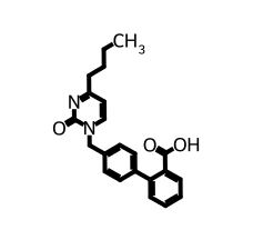 CCCCc1ccn(Cc2ccc(-c3ccccc3C(=O)O)cc2)c(=O)n1